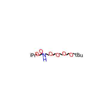 CC(C)OCC(=O)NCCOCCOCCOCCOCC(C)(C)C